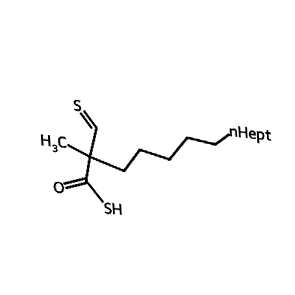 CCCCCCCCCCCCC(C)(C=S)C(=O)S